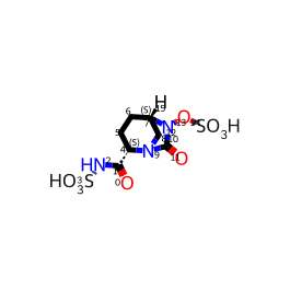 O=C(NS(=O)(=O)O)[C@@H]1CC[C@H]2CN1C(=O)N2OS(=O)(=O)O